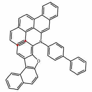 c1ccc(-c2ccc(N(c3cccc4c3oc3ccc5ccccc5c34)c3cc4ccccc4c4ccc5ccccc5c34)cc2)cc1